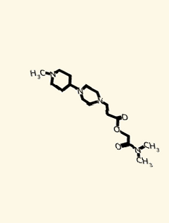 CN1CCC(N2CCN(CCC(=O)OCC(=O)N(C)C)CC2)CC1